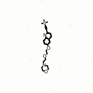 CS(C)(C)C#Cc1ccc2cc(OCCOCCN3CCOCC3)ccc2n1